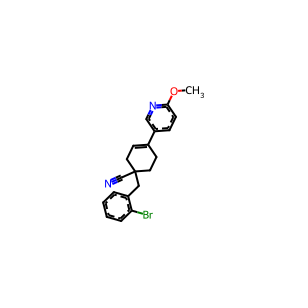 COc1ccc(C2=CCC(C#N)(Cc3ccccc3Br)CC2)cn1